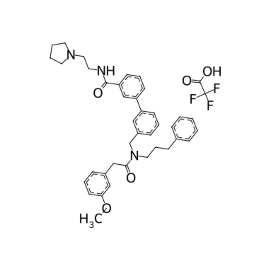 COc1cccc(CC(=O)N(CCCc2ccccc2)Cc2cccc(-c3cccc(C(=O)NCCN4CCCC4)c3)c2)c1.O=C(O)C(F)(F)F